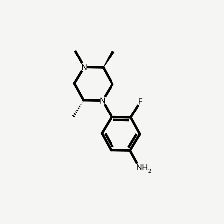 C[C@@H]1CN(C)[C@@H](C)CN1c1ccc(N)cc1F